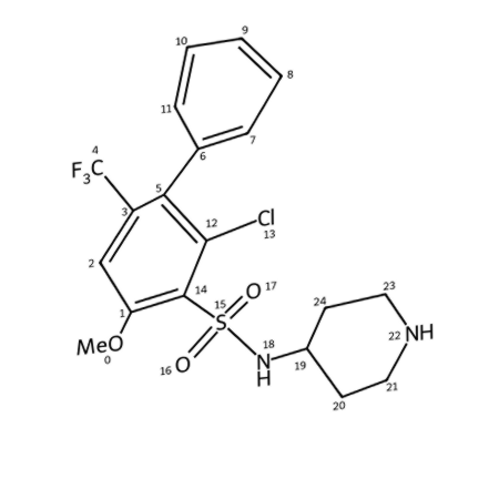 COc1cc(C(F)(F)F)c(-c2ccccc2)c(Cl)c1S(=O)(=O)NC1CCNCC1